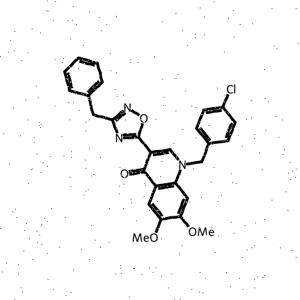 COc1cc2c(=O)c(-c3nc(Cc4ccccc4)no3)cn(Cc3ccc(Cl)cc3)c2cc1OC